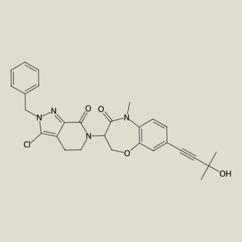 CN1C(=O)C(N2CCc3c(nn(Cc4ccccc4)c3Cl)C2=O)COc2cc(C#CC(C)(C)O)ccc21